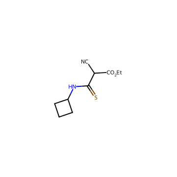 CCOC(=O)C(C#N)C(=S)NC1CCC1